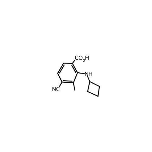 Cc1c(C#N)ccc(C(=O)O)c1NC1CCC1